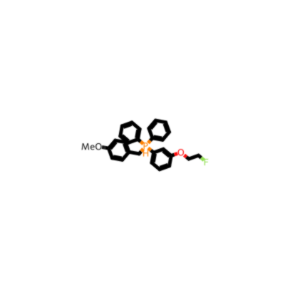 COc1ccc(C[PH](c2ccccc2)(c2ccccc2)c2cccc(OCCF)c2)cc1